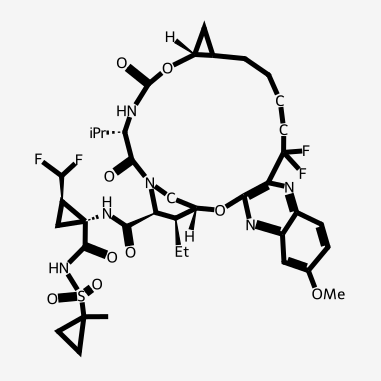 CC[C@@H]1[C@@H]2CN(C(=O)[C@H](C(C)C)NC(=O)O[C@@H]3CC3CCCCC(F)(F)c3nc4ccc(OC)cc4nc3O2)[C@@H]1C(=O)N[C@]1(C(=O)NS(=O)(=O)C2(C)CC2)C[C@H]1C(F)F